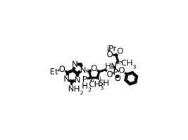 CCOc1nc(N)nc2c1ncn2[C@@H]1OC(COP(=O)(N[C@@H](C)C(=O)OC(C)C)Oc2ccccc2)[C@@H](S)[C@@]1(C)P